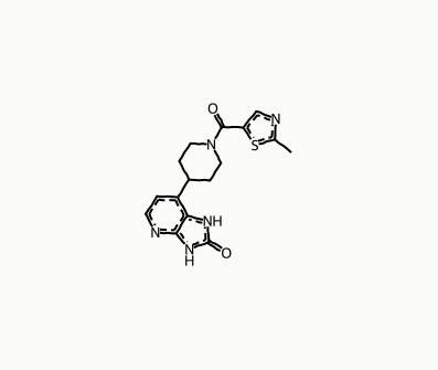 Cc1ncc(C(=O)N2CCC(c3ccnc4[nH]c(=O)[nH]c34)CC2)s1